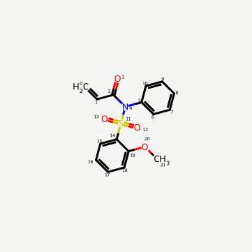 C=CC(=O)N(c1ccccc1)S(=O)(=O)c1ccccc1OC